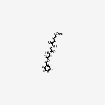 CCCCCCCCCCCCCC(=O)NCC(=O)NCC(=O)OCc1ccccc1